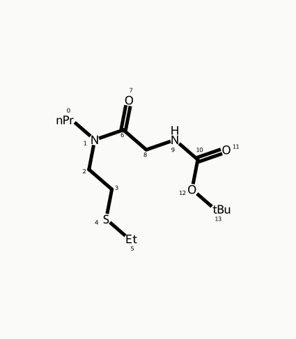 CCCN(CCSCC)C(=O)CNC(=O)OC(C)(C)C